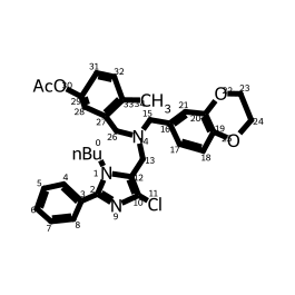 CCCCn1c(-c2ccccc2)nc(Cl)c1CN(Cc1ccc2c(c1)OCCO2)Cc1cc(OC(C)=O)ccc1C